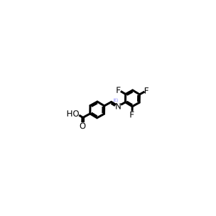 O=C(O)c1ccc(/C=N/c2c(F)cc(F)cc2F)cc1